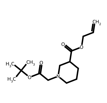 C=CCOC(=O)C1CCCN(CC(=O)OC(C)(C)C)C1